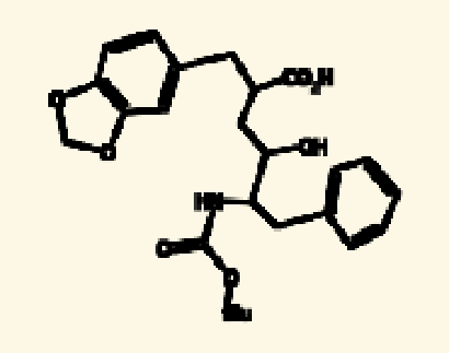 CC(C)(C)OC(=O)NC(Cc1ccccc1)C(O)CC(Cc1ccc2c(c1)OCO2)C(=O)O